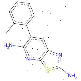 Cc1ccccc1-c1cc2nc(N)sc2nc1N